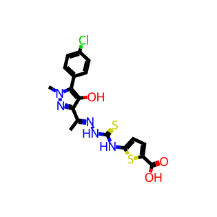 CC(=NNC(=S)Nc1ccc(C(=O)O)s1)c1nn(C)c(-c2ccc(Cl)cc2)c1O